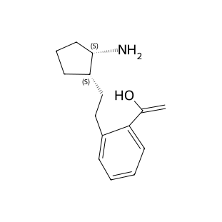 C=C(O)c1ccccc1CC[C@@H]1CCC[C@@H]1N